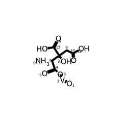 N.[O]=[V][O]C(=O)CC(O)(CC(=O)O)C(=O)O